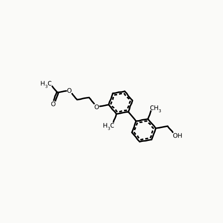 CC(=O)OCCOc1cccc(-c2cccc(CO)c2C)c1C